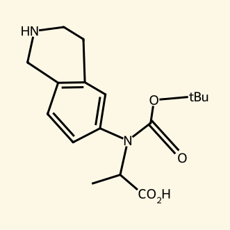 CC(C(=O)O)N(C(=O)OC(C)(C)C)c1ccc2c(c1)CCNC2